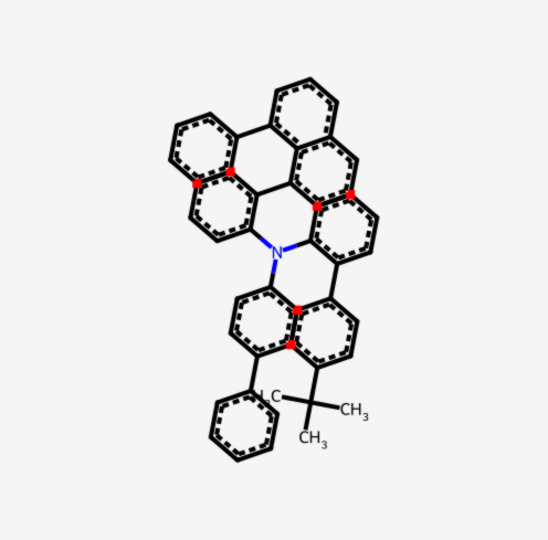 CC(C)(C)c1ccc(-c2ccccc2N(c2ccc(-c3ccccc3)cc2)c2ccccc2-c2cccc3cccc(-c4ccccc4)c23)cc1